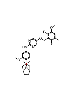 COc1cc(Nc2ncc(OCc3c(F)c(C)cc(OC)c3F)cn2)ccc1C1CC2CCC(C1)N2C(C)C